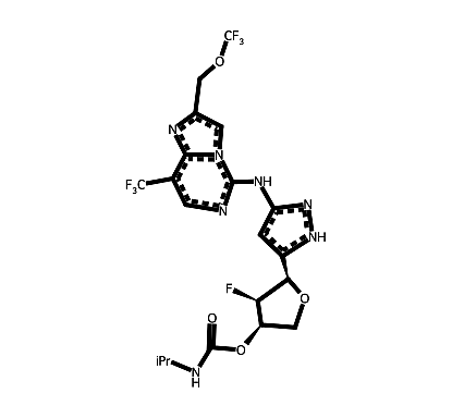 CC(C)NC(=O)O[C@@H]1CO[C@H](c2cc(Nc3ncc(C(F)(F)F)c4nc(COC(F)(F)F)cn34)n[nH]2)[C@@H]1F